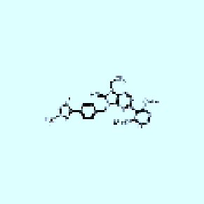 COc1ncnc(OC)c1-c1ncc2c(n1)n(Cc1ccc(-c3nc(C(F)(F)F)cn3C)cc1)c(=N)n2CC(F)(F)F